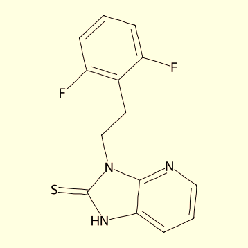 Fc1cccc(F)c1CCn1c(=S)[nH]c2cccnc21